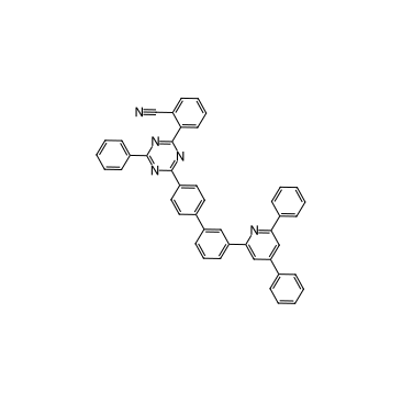 N#Cc1ccccc1-c1nc(-c2ccccc2)nc(-c2ccc(-c3cccc(-c4cc(-c5ccccc5)cc(-c5ccccc5)n4)c3)cc2)n1